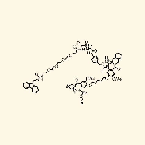 C=CCOC(=O)N1C[C@@H]2CC3(CC3)CN2C(=O)c2cc(OC)c(OCCCCCOc3cc4c(cc3OC)C(=O)N3Cc5ccccc5C[C@H]3[C@H](O)N4C(=O)OCc3ccc(NC(=O)[C@H](C)NC(=O)[C@@H](NC(=O)CCOCCOCCOCCOCCNC(=O)OCC4c5ccccc5-c5ccccc54)C(C)C)cc3)cc21